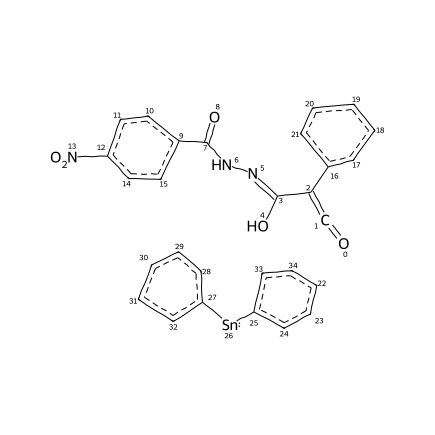 O=C=C(C(O)=NNC(=O)c1ccc([N+](=O)[O-])cc1)c1ccccc1.c1cc[c]([Sn][c]2ccccc2)cc1